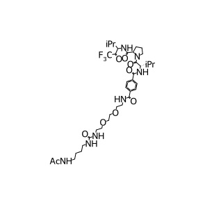 CC(=O)NCCCCNC(=O)NCCOCCOCCNC(=O)c1ccc(C(=O)N[C@H](C(=O)N2CCCC2C(=O)NC(C(=O)C(F)(F)F)C(C)C)C(C)C)cc1